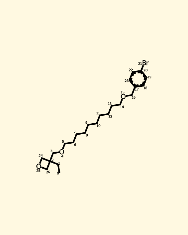 CCC1(COCCCCCCCCCCOCc2ccc(Br)cc2)COC1